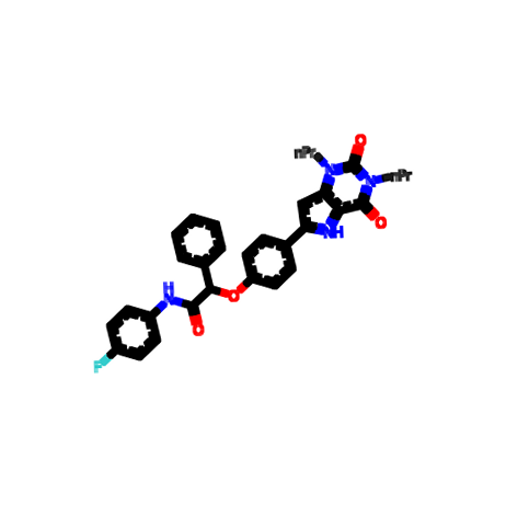 CCCn1c(=O)c2[nH]c(-c3ccc(OC(C(=O)Nc4ccc(F)cc4)c4ccccc4)cc3)cc2n(CCC)c1=O